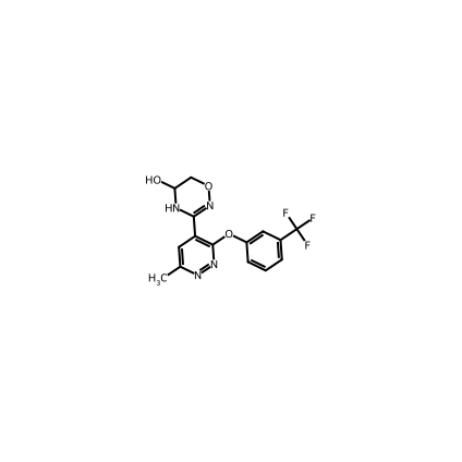 Cc1cc(C2=NOCC(O)N2)c(Oc2cccc(C(F)(F)F)c2)nn1